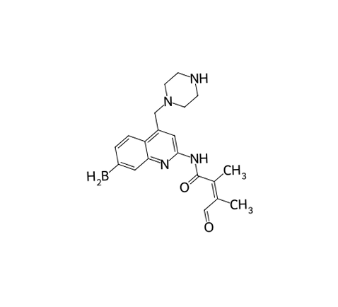 Bc1ccc2c(CN3CCNCC3)cc(NC(=O)/C(C)=C(/C)C=O)nc2c1